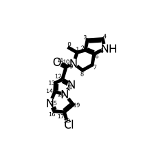 CC1c2cc[nH]c2CCN1C(=O)c1cc2ncc(Cl)cn2n1